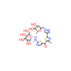 Cc1nc(-c2cn(C[C@@H]3C[C@H](O)[C@H](O)C(C)O3)nn2)sc1C(=O)c1cnc(NC[C@H]2O[C@H](CO)[C@@H](O)[C@H](O)[C@@H]2O)s1